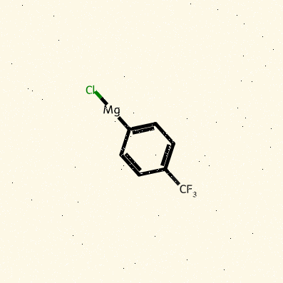 FC(F)(F)c1cc[c]([Mg][Cl])cc1